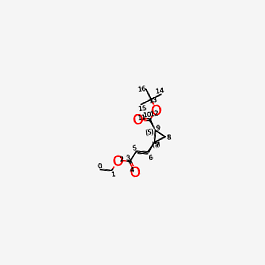 CCOC(=O)C=C[C@@H]1C[C@@H]1C(=O)OC(C)(C)C